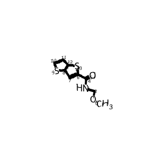 COCNC(=O)C1=CC2SC=CC2S1